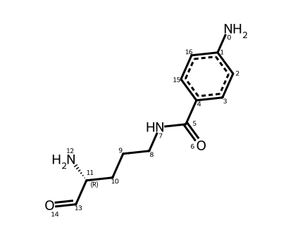 Nc1ccc(C(=O)NCCC[C@@H](N)C=O)cc1